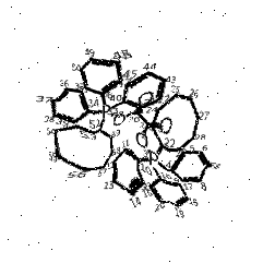 O=C(OP(c1ccccc1)(c1ccccc1)(c1ccccc1)C1CCCCCCC1)C(=O)OP(c1ccccc1)(c1ccccc1)(c1ccccc1)C1CCCCCCC1